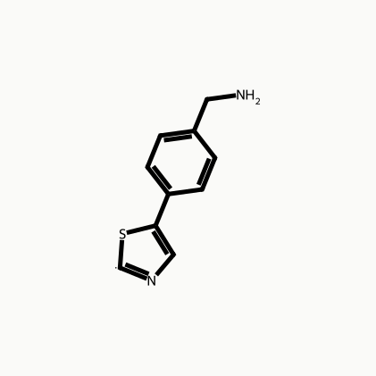 NCc1ccc(-c2cn[c]s2)cc1